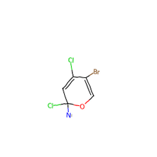 [N]C1(Cl)C=C(Cl)C(Br)=CO1